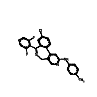 Cc1ccc(Nc2cc3c(cn2)CN=C(c2c(F)cccc2F)c2cc(Cl)ccc2-3)cc1